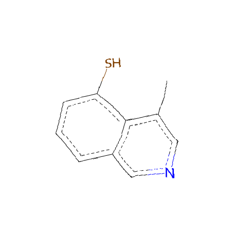 Cc1cncc2cccc(S)c12